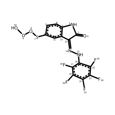 O=C1Nc2ccc(SOOO)cc2/C1=N/Nc1c(F)c(F)c(F)c(F)c1F